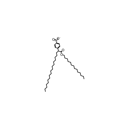 CCCCCCCCCCCCCCCCCCC(C(=O)OCCCCCCCCCCCCCC)c1ccc([N+](=O)[O-])cc1